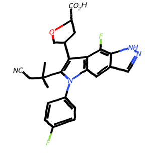 CC(C)(CC#N)c1c(C2COC(C(=O)O)C2)c2c(F)c3[nH]ncc3cc2n1-c1ccc(F)cc1